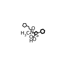 CCN(C(=O)CCC1CCCC1)c1cc(-c2ccccc2)sc1C(=O)O